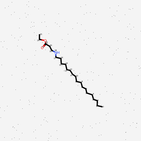 CCCCCCCCCCCCCCCCCCNCCC(=O)OCC